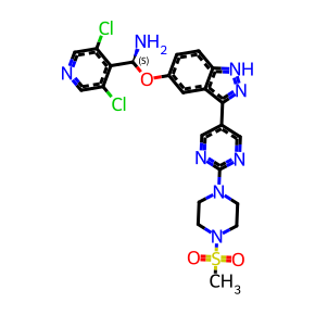 CS(=O)(=O)N1CCN(c2ncc(-c3n[nH]c4ccc(O[C@H](N)c5c(Cl)cncc5Cl)cc34)cn2)CC1